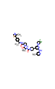 Cc1ncsc1-c1ccc(C(C)NC(=O)C2CCCN2C(=O)C(NC(=O)N2CCC(c3cc(Nc4cc(C#N)ccn4)nc(N4CCC(F)(F)C4)c3)CC2)C(C)(C)C)cc1